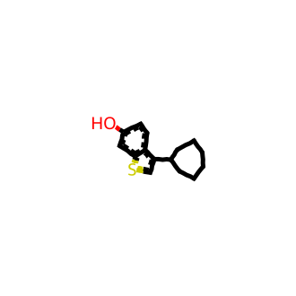 Oc1ccc2c(C3CCCCCC3)csc2c1